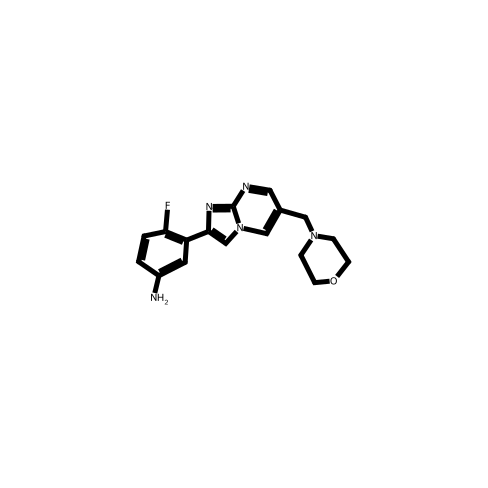 Nc1ccc(F)c(-c2cn3cc(CN4CCOCC4)cnc3n2)c1